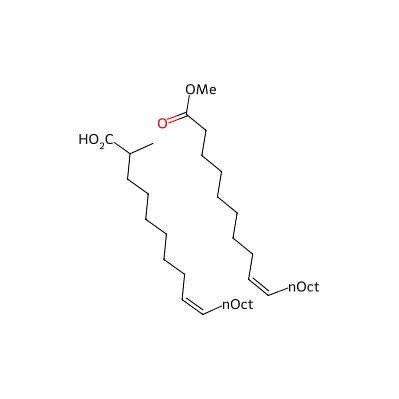 CCCCCCCC/C=C\CCCCCCC(C)C(=O)O.CCCCCCCC/C=C\CCCCCCCC(=O)OC